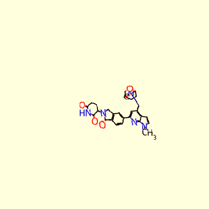 Cn1ccc2c(CN3CC4CCC(C3)OC4)cc(-c3ccc4c(c3)CN(C3CCC(=O)NC3=O)C4=O)nc21